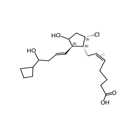 O=C(O)CCC/C=C\C[C@H]1[C@@H](Cl)CC(O)[C@@H]1C=CCC(O)C1CCC1